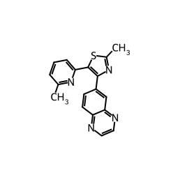 Cc1cccc(-c2sc(C)nc2-c2ccc3nccnc3c2)n1